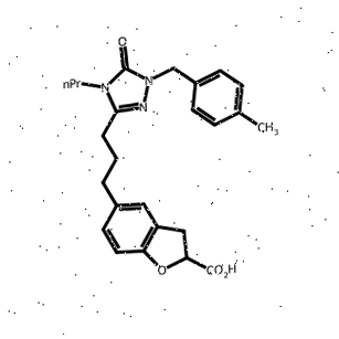 CCCn1c(CCCc2ccc3c(c2)CC(C(=O)O)O3)nn(Cc2ccc(C)cc2)c1=O